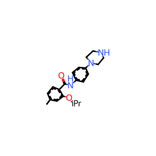 Cc1ccc(C(=O)Nc2ccc(N3CCNCC3)cc2)c(OC(C)C)c1